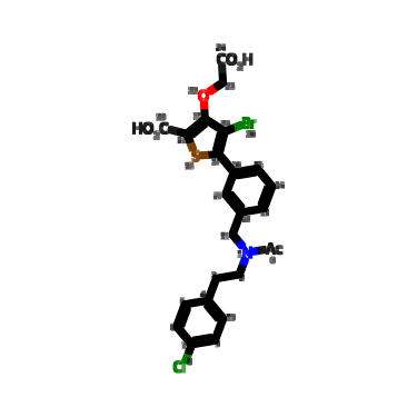 CC(=O)N(CCc1ccc(Cl)cc1)Cc1cccc(-c2sc(C(=O)O)c(OCC(=O)O)c2Br)c1